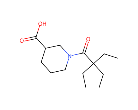 CCC(CC)(CC)C(=O)N1CCCC(C(=O)O)C1